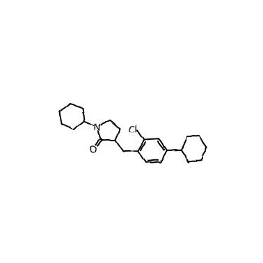 O=C1C(Cc2ccc(C3CCCCC3)cc2Cl)CCN1C1CCCCC1